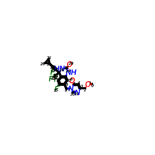 COCc1cc(=O)n(Cc2cc3c(cc2F)C(C#CC2CC2)(C(F)(F)F)NC(=O)N3)cn1